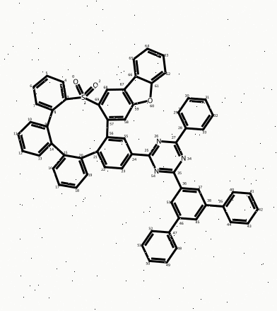 O=S1(=O)c2ccccc2-c2ccccc2-c2ccccc2-c2ccc(-c3nc(-c4ccccc4)nc(-c4cc(-c5ccccc5)cc(-c5ccccc5)c4)n3)cc2-c2cc3oc4ccccc4c3cc21